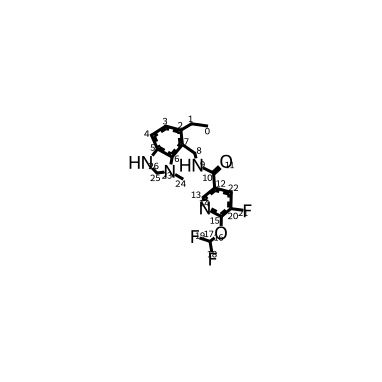 CCc1ccc2c(c1CNC(=O)c1cnc(OC(F)F)c(F)c1)N(C)CN2